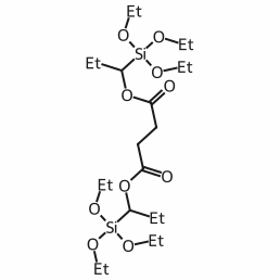 CCO[Si](OCC)(OCC)C(CC)OC(=O)CCC(=O)OC(CC)[Si](OCC)(OCC)OCC